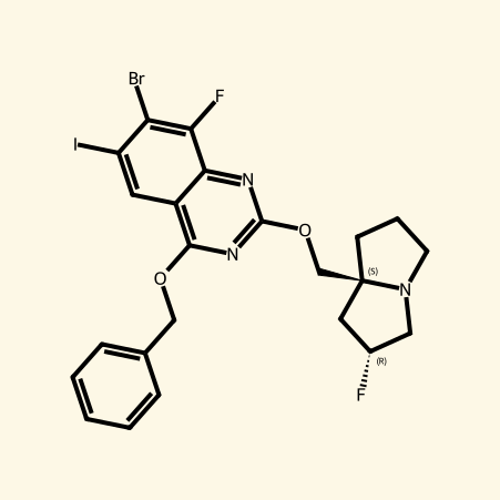 Fc1c(Br)c(I)cc2c(OCc3ccccc3)nc(OC[C@@]34CCCN3C[C@H](F)C4)nc12